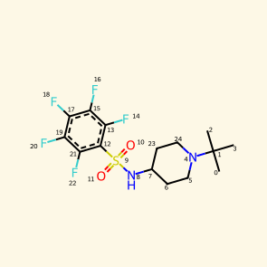 CC(C)(C)N1CCC(NS(=O)(=O)c2c(F)c(F)c(F)c(F)c2F)CC1